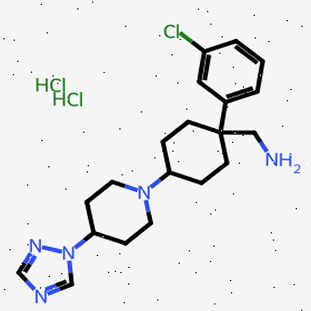 Cl.Cl.NCC1(c2cccc(Cl)c2)CCC(N2CCC(n3cncn3)CC2)CC1